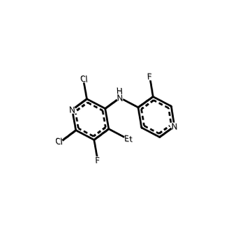 CCc1c(F)c(Cl)nc(Cl)c1Nc1ccncc1F